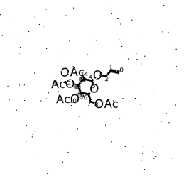 C=CCOC1OC(COC(C)=O)[C@@H](OC(C)=O)[C@H](OC(C)=O)[C@H]1OC(C)=O